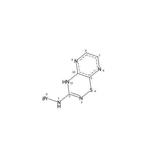 CC(C)NC1=NSc2nccnc2N1